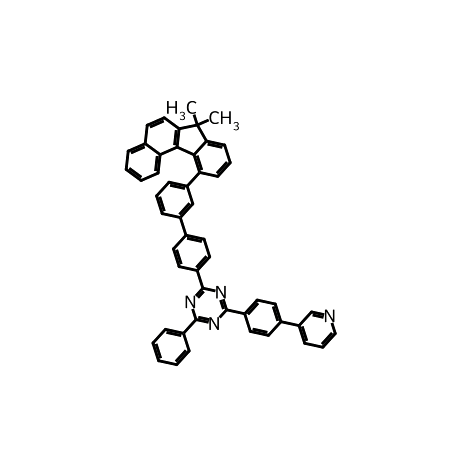 CC1(C)c2cccc(-c3cccc(-c4ccc(-c5nc(-c6ccccc6)nc(-c6ccc(-c7cccnc7)cc6)n5)cc4)c3)c2-c2c1ccc1ccccc21